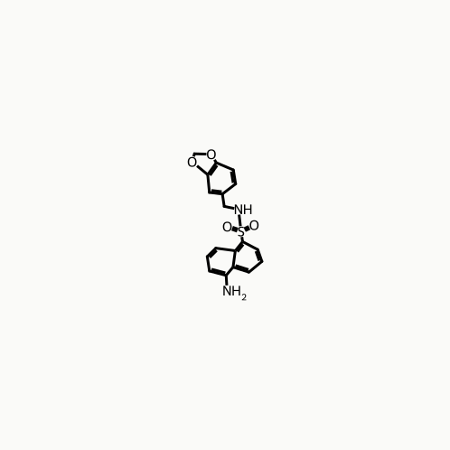 Nc1cccc2c(S(=O)(=O)NCc3ccc4c(c3)OCO4)cccc12